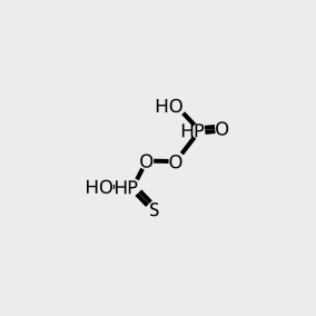 O=[PH](O)OO[PH](O)=S